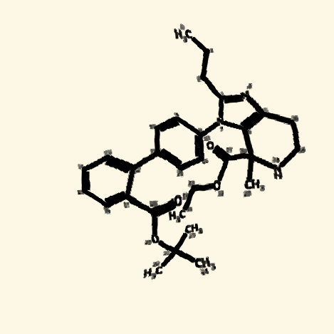 CCCc1nc2c(n1-c1ccc(-c3ccccc3C(=O)OC(C)(C)C)cc1)C(C)(C(=O)OCC)NCC2